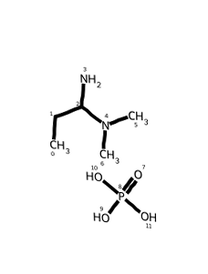 CCC(N)N(C)C.O=P(O)(O)O